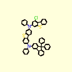 Clc1cc(N(c2ccccc2)c2ccc3c(c2)sc2ccc(N(c4ccccc4)c4ccc5c(c4)-c4ccccc4C5(c4ccccc4)c4ccccc4)cc23)cc2sc3ccccc3c12